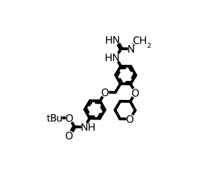 C=NC(=N)Nc1ccc(OC2CCCOC2)c(COc2ccc(NC(=O)OC(C)(C)C)cc2)c1